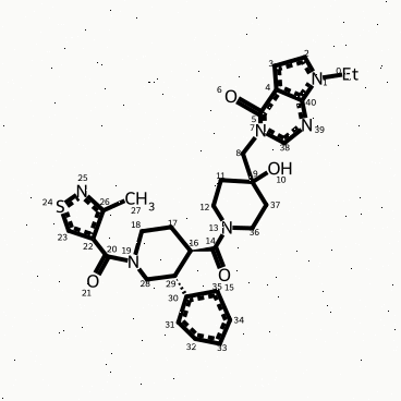 CCn1ccc2c(=O)n(CC3(O)CCN(C(=O)[C@@H]4CCN(C(=O)c5csnc5C)C[C@H]4c4ccccc4)CC3)cnc21